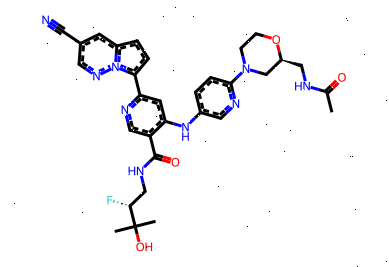 CC(=O)NC[C@H]1CN(c2ccc(Nc3cc(-c4ccc5cc(C#N)cnn45)ncc3C(=O)NC[C@@H](F)C(C)(C)O)cn2)CCO1